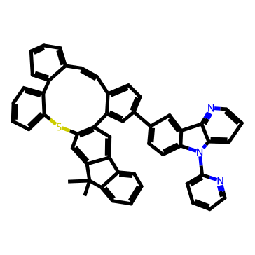 CC1(C)c2ccccc2-c2cc3c(cc21)Sc1ccccc1-c1ccccc1/C=C\c1ccc(-c2ccc4c(c2)c2ncccc2n4-c2ccccn2)cc1-3